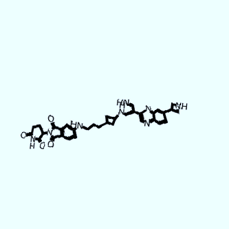 N=C/C(=C\NC1CC(CCCNc2ccc3c(c2)C(=O)N(C2CCC(=O)NC2=O)C3=O)C1)c1cnc2ccc(C3CNC3)cc2n1